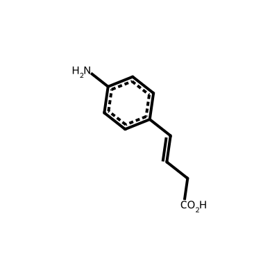 Nc1ccc(/C=C/CC(=O)O)cc1